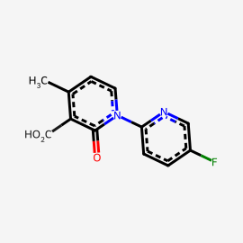 Cc1ccn(-c2ccc(F)cn2)c(=O)c1C(=O)O